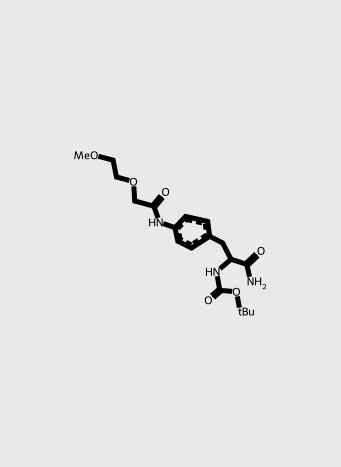 COCCOCC(=O)Nc1ccc(CC(NC(=O)OC(C)(C)C)C(N)=O)cc1